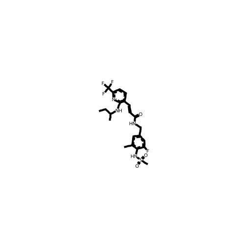 CCC(C)Nc1nc(C(F)(F)F)ccc1C=CC(=O)NCc1cc(C)c(NS(C)(=O)=O)c(F)c1